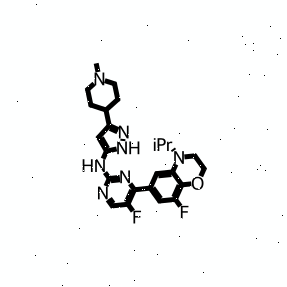 CC(C)N1CCOc2c(F)cc(-c3nc(Nc4cc(C5CCN(C)CC5)n[nH]4)ncc3F)cc21